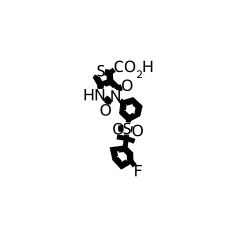 CC(C)(c1cccc(F)c1)S(=O)(=O)c1cccc(-n2c(=O)[nH]c3csc(C(=O)O)c3c2=O)c1